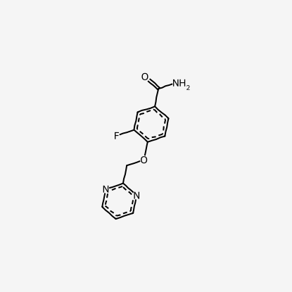 NC(=O)c1ccc(OCc2ncccn2)c(F)c1